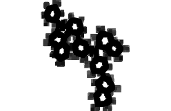 c1ccc(-n2c3cccc(-c4cccc(N(c5ccc(-c6ccc7ccccc7c6)cc5)c5cccc6ccccc56)c4)c3c3c4ccccc4ccc32)cc1